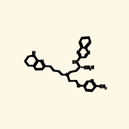 Cc1ccc(OCCN(CCCCc2ccc3c(n2)NCCC3)CC[C@H](Nc2cnc3ccccc3n2)C(=O)O)cn1